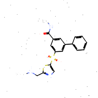 CCNC(=O)c1cc(-c2ccccc2)cc(S(=O)(=O)c2cnc(CNC(=O)O)s2)c1